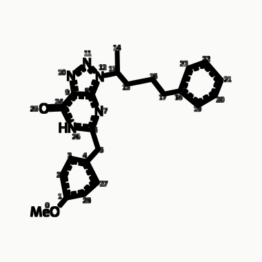 COc1ccc(Cc2nc3c(nnn3C(C)CCCc3ccccc3)c(=O)[nH]2)cc1